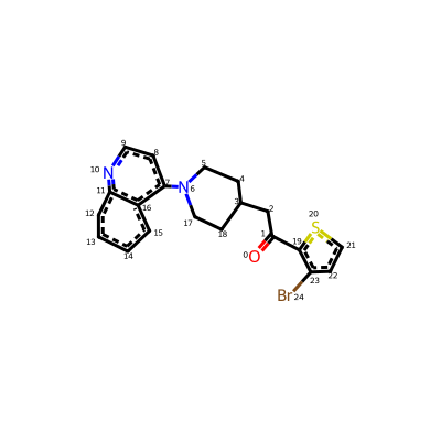 O=C(CC1CCN(c2ccnc3ccccc23)CC1)c1sccc1Br